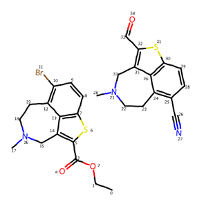 CCOC(=O)c1sc2ccc(Br)c3c2c1CN(C)CC3.CN1CCc2c(C#N)ccc3sc(C=O)c(c23)C1